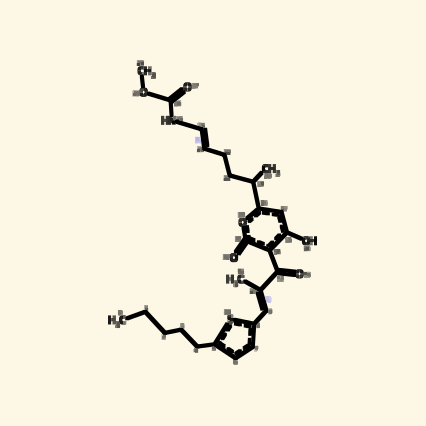 CCCCCc1ccc(/C=C(\C)C(=O)c2c(O)cc(C(C)CC/C=C/NC(=O)OC)oc2=O)s1